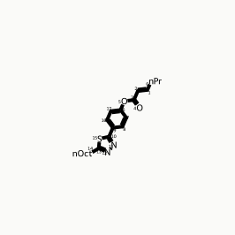 CCCC=CC(=O)Oc1ccc(-c2nnc(CCCCCCCC)s2)cc1